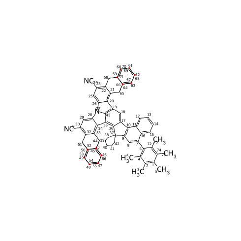 Cc1c(C)c(C)c(-c2cc3c(c4ccccc24)-c2cc4c5c6c(c(C#N)cc5n5c7cc(C#N)c8c(c7c(c2C32CCCCC2)c45)C2c3ccccc3C8c3ccccc32)C2c3ccccc3C6c3ccccc32)c(C)c1C